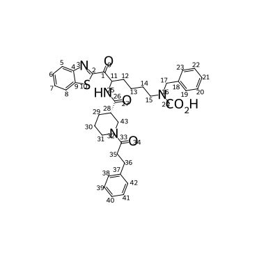 O=C(c1nc2ccccc2s1)C(CCCCN(Cc1ccccc1)C(=O)O)NC(=O)[C@H]1CCCN(C(=O)CCc2ccccc2)C1